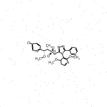 COC1=C(n2c(NS(=O)(=O)[C@@H](C)[C@H](OC)c3ccc(Cl)cn3)nnc2-c2cccnc2)C(OC)CC=N1